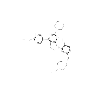 CC(=O)N1CCN(Cc2ccc(F)c(N3CCc4c(-c5cnc(N)nc5)nc(N5CCOCC5)nc43)c2)CC1